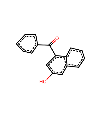 O=C(c1ccccc1)c1cc(O)cc2ccccc12